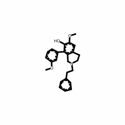 COc1cccc(-c2c(O)c(OC)cc3c2CN(CCc2ccccc2)CC3)c1